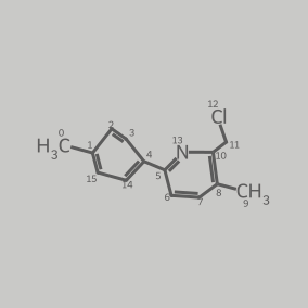 Cc1ccc(-c2ccc(C)c(CCl)n2)cc1